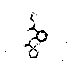 CCOC(=O)c1ccccc1OC(=O)[P]1(O)OCCO1